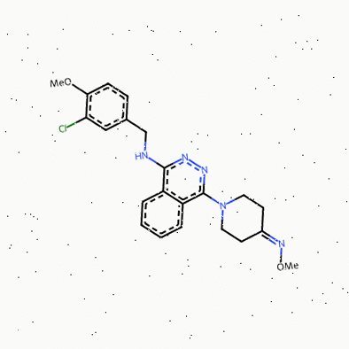 CON=C1CCN(c2nnc(NCc3ccc(OC)c(Cl)c3)c3ccccc23)CC1